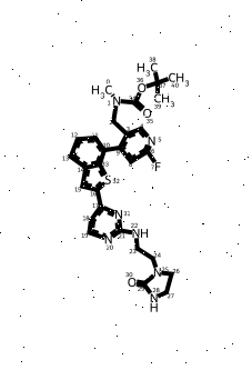 CN(Cc1cnc(F)cc1-c1cccc2cc(-c3ccnc(NCCN4CCNC4=O)n3)sc12)C(=O)OC(C)(C)C